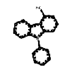 N#Cc1cccc2c1c1ccccc1n2-c1ccccc1